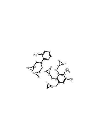 Cc1ccccc1N(CC1CO1)CC1CO1.Nc1c(O)cc(CC2CO2)c(CC2CO2)c1CC1CO1